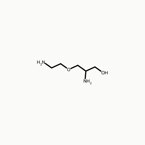 NCCOCC(N)CO